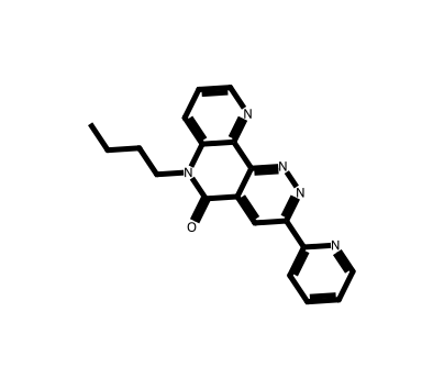 CCCCn1c(=O)c2cc(-c3ccccn3)nnc2c2ncccc21